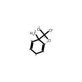 CC1(C(Cl)(Cl)Cl)C=CCC=C1